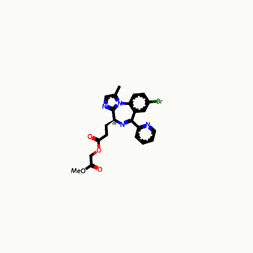 COC(=O)COC(=O)CC[C@@H]1N=C(c2ccccn2)c2cc(Br)ccc2-n2c(C)cnc21